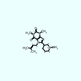 CC(C)=CCn1c(C2CCCN(N)C2)nc2c1c(=O)n(C)c(=O)n2C